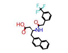 O=C(O)C[C@H](Cc1ccc2ccccc2c1)NC(=O)Cc1cccc(C(F)(F)F)c1